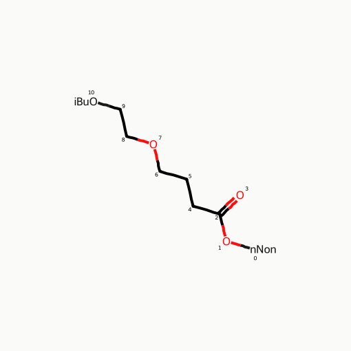 CCCCCCCCCOC(=O)CCCOCCOCC(C)C